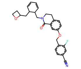 N#Cc1ccc(COc2ccc3c(c2)C(=O)N(CC2C=CC=CC2CC2CCO2)CC3)c(F)c1